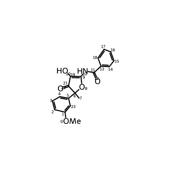 COc1cccc(C2(C)OC(NC(=O)c3ccccc3)=C(O)C2=O)c1